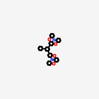 c1ccc(-c2cc(-c3ccc4c(c3)Oc3cccc5c3N4c3ccccc3O5)cc(-c3cc4c5c(c3)Oc3ccccc3N5c3ccccc3O4)c2)cc1